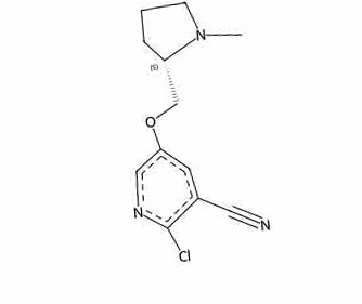 CN1CCC[C@H]1COc1cnc(Cl)c(C#N)c1